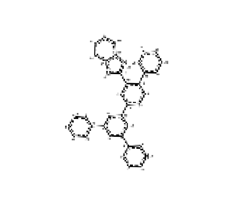 c1cncc(-c2cc(-c3cccnc3)cc(-c3ccc(-c4cccnc4)c(-c4nc5ccccc5o4)c3)c2)c1